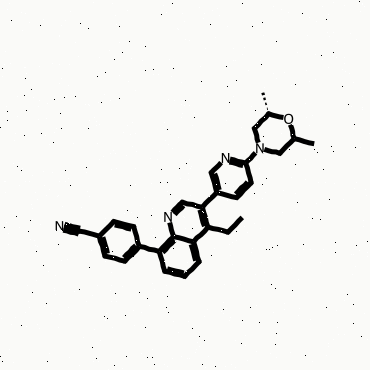 CCc1c(-c2ccc(N3CC(C)O[C@@H](C)C3)nc2)cnc2c(-c3ccc(C#N)cc3)cccc12